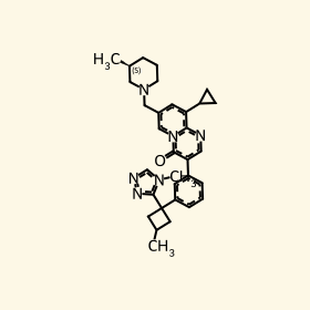 CC1CC(c2cccc(-c3cnc4c(C5CC5)cc(CN5CCC[C@H](C)C5)cn4c3=O)c2)(c2nncn2C)C1